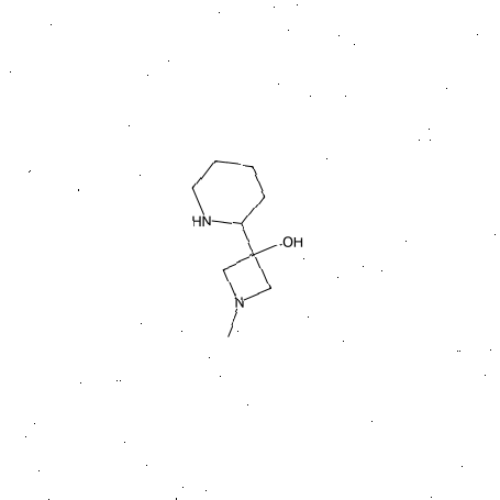 CN1CC(O)(C2CCCCN2)C1